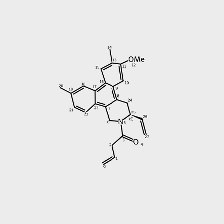 C=CCC(=O)N1Cc2c(c3cc(OC)c(C)cc3c3cc(C)ccc23)C[C@H]1C=C